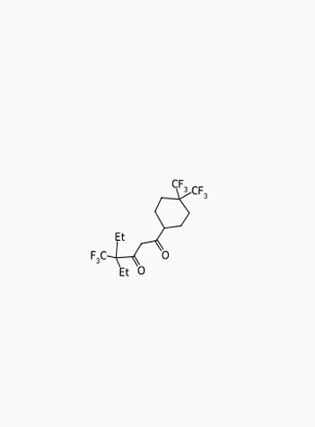 CCC(CC)(C(=O)CC(=O)C1CCC(C(F)(F)F)(C(F)(F)F)CC1)C(F)(F)F